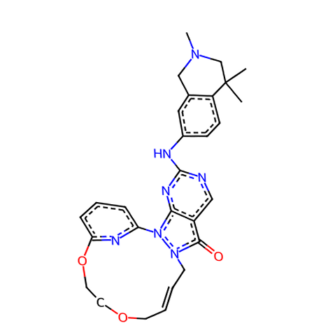 CN1Cc2cc(Nc3ncc4c(=O)n5n(c4n3)-c3cccc(n3)OCCOC/C=C/C5)ccc2C(C)(C)C1